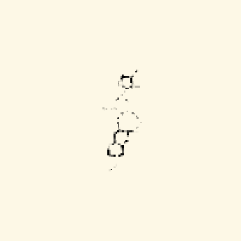 CCc1cnc2cc3c(cc2c1)OCCC1CN(c2ncc(C)n2C)C[C@@H](OC)N1C3